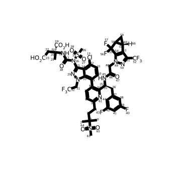 CC(C)(CCc1ccc(-c2ccc(Cl)c3c(N(C(=O)N[C@@](C)(CC(=O)O)C(=O)O)S(C)(=O)=O)nn(CC(F)(F)F)c23)c([C@H](Cc2cc(F)cc(F)c2)NC(=O)Cn2nc(C(F)(F)F)c3c2C(F)(F)C2C[C@H]32)n1)S(C)(=O)=O